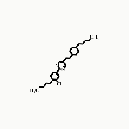 CCCCCc1ccc(-c2ncc(CCC3CCC(CCCCC)CC3)cn2)cc1Cl